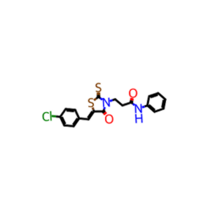 O=C(CCN1C(=O)/C(=C/c2ccc(Cl)cc2)SC1=S)Nc1ccccc1